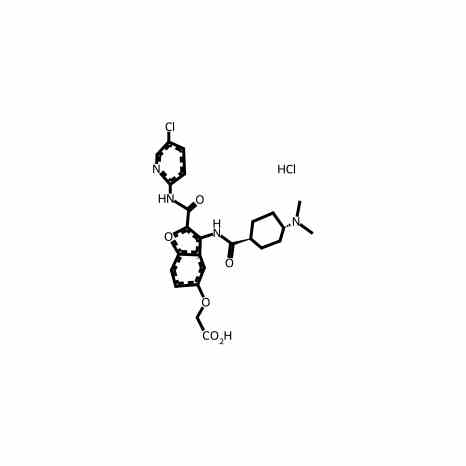 CN(C)[C@H]1CC[C@H](C(=O)Nc2c(C(=O)Nc3ccc(Cl)cn3)oc3ccc(OCC(=O)O)cc23)CC1.Cl